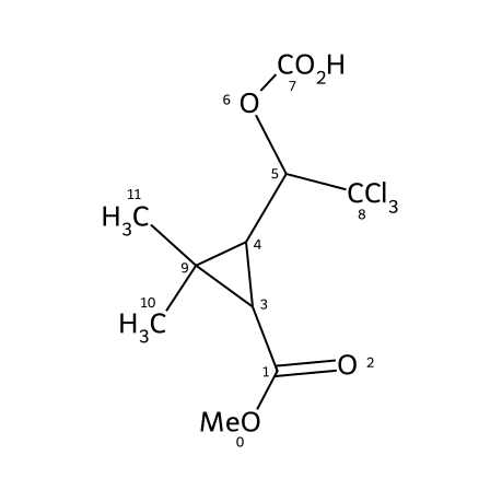 COC(=O)C1C(C(OC(=O)O)C(Cl)(Cl)Cl)C1(C)C